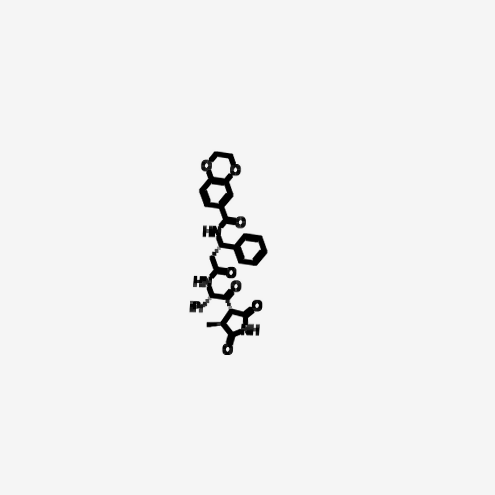 CC(C)[C@H](NC(=O)C[C@H](NC(=O)c1ccc2c(c1)OCCO2)c1ccccc1)C(=O)[C@@H]1C(=O)NC(=O)[C@H]1C